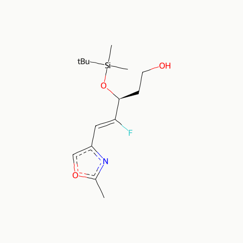 Cc1nc(C=C(F)[C@H](CCO)O[Si](C)(C)C(C)(C)C)co1